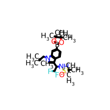 CC(C)(C)Cn1cc(C(N[S@@+]([O-])C(C)(C)C)C(F)F)c2ccc(B3OC(C)(C)C(C)(C)O3)cc21